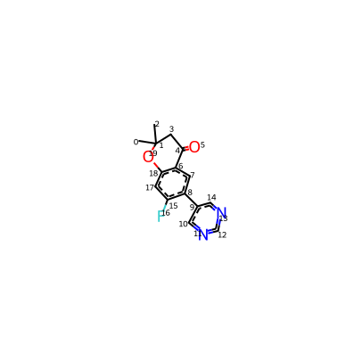 CC1(C)CC(=O)c2cc(-c3cncnc3)c(F)cc2O1